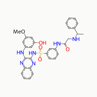 COc1cc(O)cc(Nc2nc3ccccc3nc2NS(=O)(=O)c2cccc(NC(=O)CNC(C)c3ccccc3)c2)c1